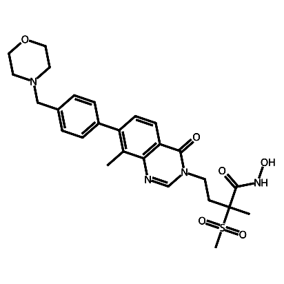 Cc1c(-c2ccc(CN3CCOCC3)cc2)ccc2c(=O)n(CCC(C)(C(=O)NO)S(C)(=O)=O)cnc12